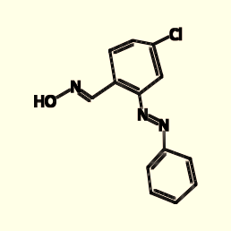 ON=Cc1ccc(Cl)cc1N=Nc1ccccc1